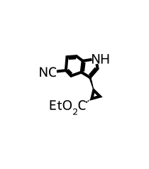 CCOC(=O)[C@H]1C[C@@H]1c1c[nH]c2ccc(C#N)cc12